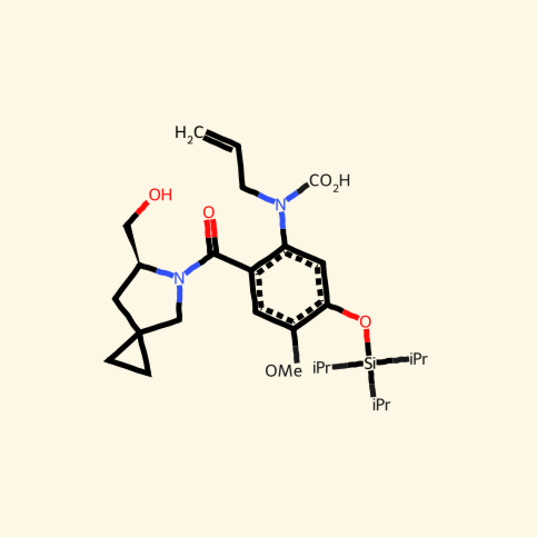 C=CCN(C(=O)O)c1cc(O[Si](C(C)C)(C(C)C)C(C)C)c(OC)cc1C(=O)N1CC2(CC2)C[C@H]1CO